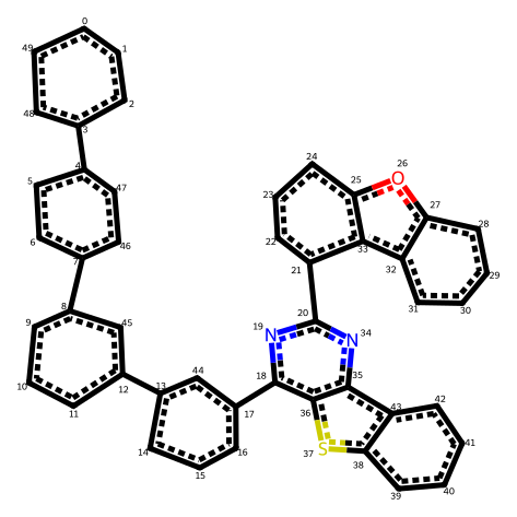 c1ccc(-c2ccc(-c3cccc(-c4cccc(-c5nc(-c6cccc7oc8ccccc8c67)nc6c5sc5ccccc56)c4)c3)cc2)cc1